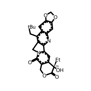 CC[C@@]1(O)C(=O)OCc2c1cc1n(c2=O)Cc2c-1nc1cc3c(cc1c2CC(C)(C)C)OCO3